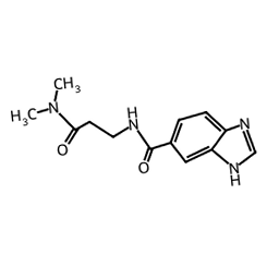 CN(C)C(=O)CCNC(=O)c1ccc2nc[nH]c2c1